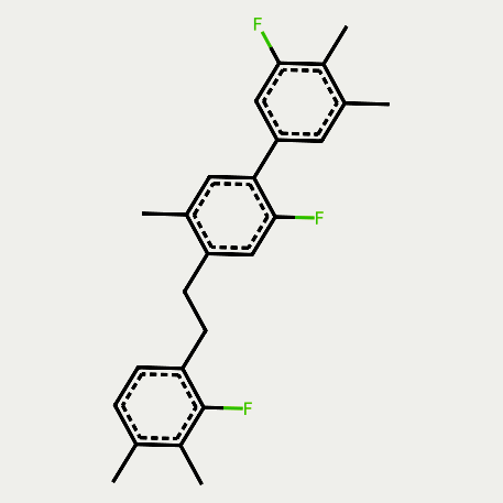 Cc1cc(-c2cc(C)c(C)c(F)c2)c(F)cc1CCc1ccc(C)c(C)c1F